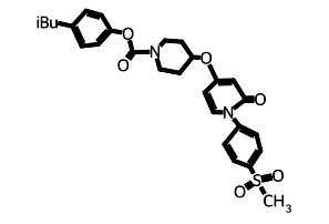 CCC(C)c1ccc(OC(=O)N2CCC(Oc3ccn(-c4ccc(S(C)(=O)=O)cc4)c(=O)c3)CC2)cc1